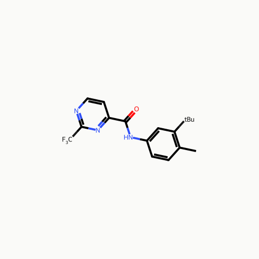 Cc1ccc(NC(=O)c2ccnc(C(F)(F)F)n2)cc1C(C)(C)C